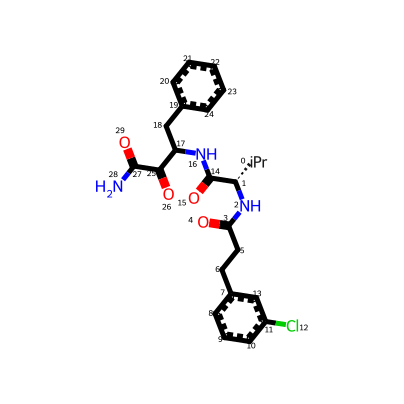 CC(C)[C@H](NC(=O)CCc1cccc(Cl)c1)C(=O)NC(Cc1ccccc1)C(=O)C(N)=O